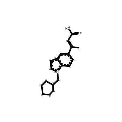 CC(=CC(=O)O)c1ccc2c(ccn2CC2CCCCC2)c1